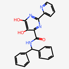 O=C(NC(c1ccccc1)c1ccccc1)c1nc(-c2ccccn2)nc(O)c1O